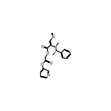 C=N/C=C(/C(=O)OCC(=O)Oc1cccnc1)N(C)[C@H](C)c1ccccc1